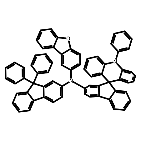 c1ccc(N2c3ccccc3C3(c4ccccc4-c4ccc(N(c5ccc6c(c5)C(c5ccccc5)(c5ccccc5)c5ccccc5-6)c5ccc6oc7ccccc7c6c5)cc43)c3ccccc32)cc1